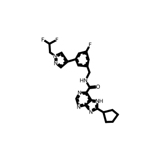 O=C(NCc1cc(F)cc(-c2cnn(CC(F)F)c2)c1)c1ncnc2nc(C3CCCC3)[nH]c12